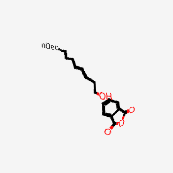 CCCCCCCCCCCCCCCCCCO.O=C1OC(=O)c2ccccc21